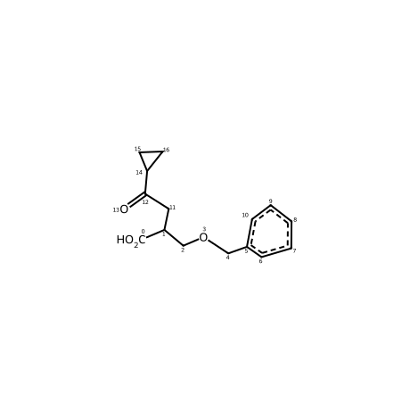 O=C(O)C(COCc1ccccc1)CC(=O)C1CC1